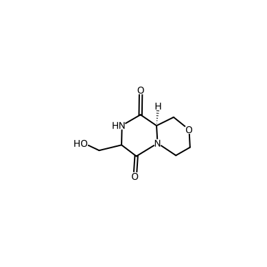 O=C1NC(CO)C(=O)N2CCOC[C@H]12